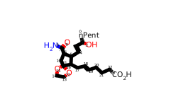 CCCCCC(O)/C=C/C1C(C(N)=O)CC2(OCCO2)C1C/C=C/CCCC(=O)O